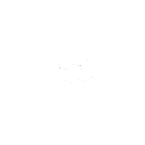 CCCCCCC=[CH][K].O=C(O)CCC(=O)O